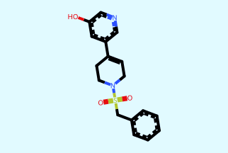 O=S(=O)(Cc1ccccc1)N1CC=C(c2cncc(O)c2)CC1